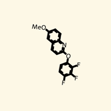 COc1ccc2nc(Oc3ccc(F)c(F)c3F)ccc2c1